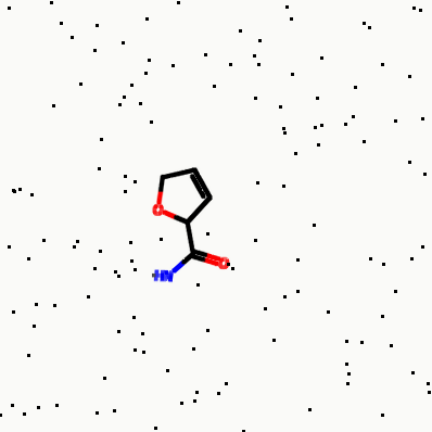 [NH]C(=O)C1C=CCO1